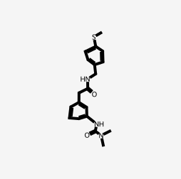 CSc1ccc(CNC(=O)Cc2cccc(NC(=O)N(C)C)c2)cc1